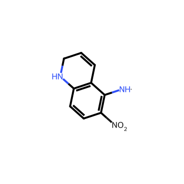 [NH]c1c([N+](=O)[O-])ccc2c1C=CCN2